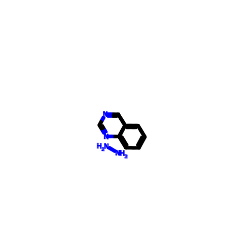 NN.c1ccc2ncncc2c1